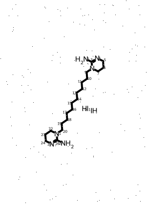 I.I.NC1=NCCCN1CCCCCCCCCCCCN1CCCN=C1N